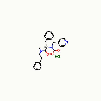 CN(CCc1ccccc1)C(=O)[C@H](Cc1ccccc1)N(Cc1ccncc1)C(=O)O.Cl